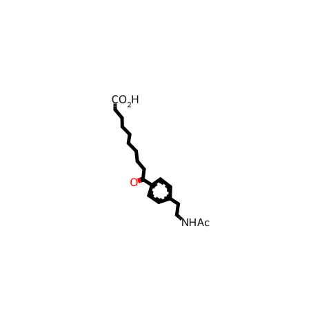 CC(=O)NCCc1ccc(C(=O)CCCCCCCCC(=O)O)cc1